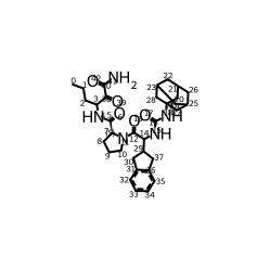 CCCC(NC(=O)[C@@H]1CCCN1C(=O)C(NC(=O)NC12CC3CC(CC(C3)C1)C2)C1Cc2ccccc2C1)C(=O)C(N)=O